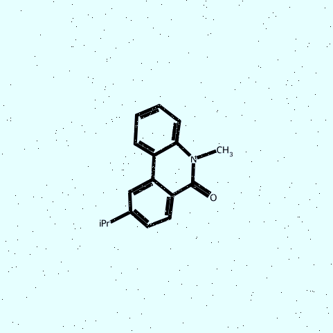 CC(C)c1ccc2c(=O)n(C)c3ccccc3c2c1